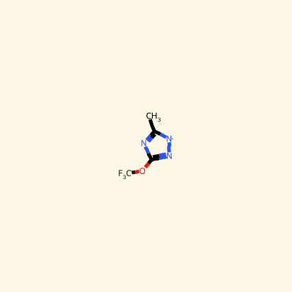 CC1=NC(OC(F)(F)F)=N[N]1